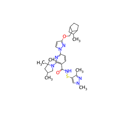 Cc1nn(C)cc1SNC(=O)c1ccc(-n2ccc(OCC3C4CCC3C(C)C4)n2)nc1N1CC(C)CC1(C)C